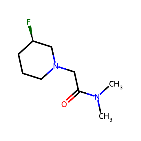 CN(C)C(=O)CN1CCC[C@@H](F)C1